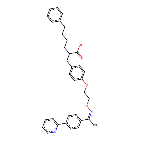 C/C(=N/OCCOc1ccc(CC(CCCCc2ccccc2)C(=O)O)cc1)c1ccc(-c2ccccn2)cc1